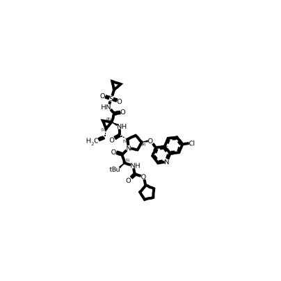 C=C[C@@H]1C[C@]1(NC(=O)[C@@H]1C[C@@H](Oc2ccnc3cc(Cl)ccc23)CN1C(=O)[C@@H](NC(=O)OC1CCCC1)C(C)(C)C)C(=O)NS(=O)(=O)C1CC1